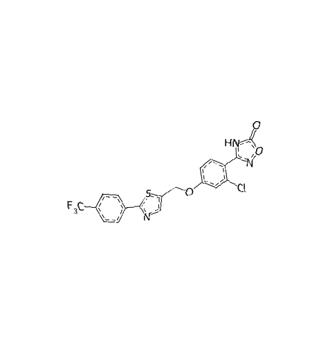 O=c1[nH]c(-c2ccc(OCc3cnc(-c4ccc(C(F)(F)F)cc4)s3)cc2Cl)no1